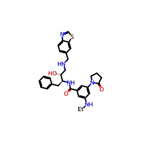 CCNc1cc(C(=O)N[C@@H](Cc2ccccc2)[C@H](O)CNCc2ccc3ncsc3c2)cc(N2CCCC2=O)c1